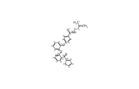 CN(C)CCNC(=O)c1ccc(Oc2ccccc2Oc2ncccc2C(=O)c2cccs2)cc1